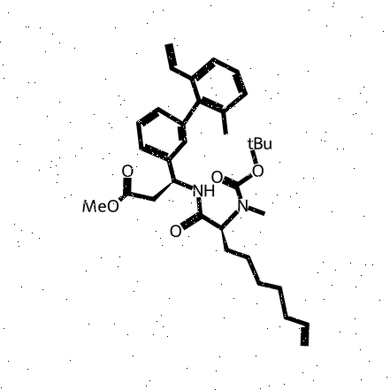 C=CCCCCC[C@@H](C(=O)N[C@@H](CC(=O)OC)c1cccc(-c2c(C)cccc2C=C)c1)N(C)C(=O)OC(C)(C)C